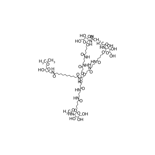 CC(=O)NC1C(OCCCCC(=O)NCCCNC(=O)CCOCC(COCCC(=O)NCCCNC(=O)CCCCOC2OC(CO)C(O)C(O)C2NC(C)=O)(COCCC(=O)NCCCNC(=O)CCCCOC2OC(CO)C(O)C(O)C2NC(C)=O)NC(=O)CCCCCCCCCCC(=O)NCC2CC(O)C(COC(C)C)O2)OC(CO)C(O)C1O